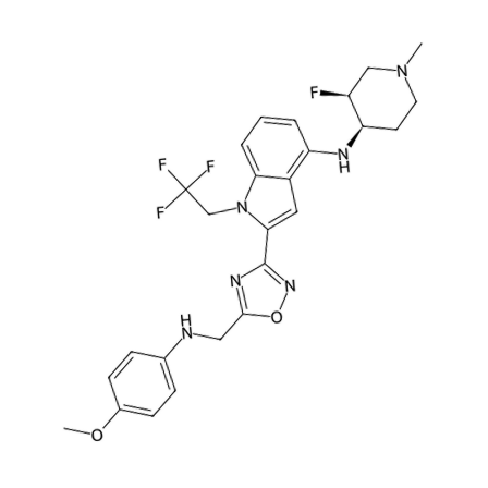 COc1ccc(NCc2nc(-c3cc4c(N[C@@H]5CCN(C)C[C@@H]5F)cccc4n3CC(F)(F)F)no2)cc1